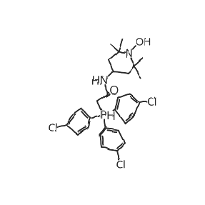 CC1(C)CC(NC(=O)C[PH](c2ccc(Cl)cc2)(c2ccc(Cl)cc2)c2ccc(Cl)cc2)CC(C)(C)N1O